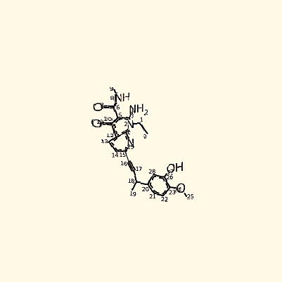 CCn1c(N)c(C(=O)NC)c(=O)c2ccc(C#CC(C)c3ccc(OC)c(O)c3)nc21